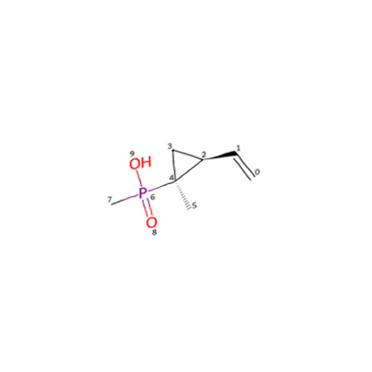 C=C[C@@H]1C[C@]1(C)P(C)(=O)O